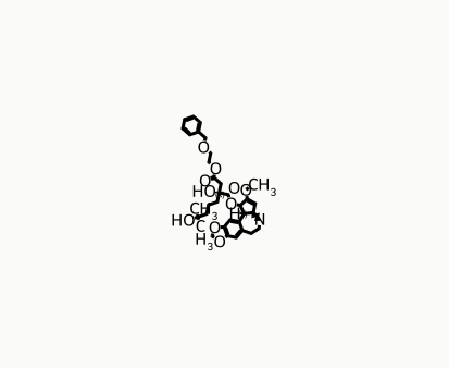 COC1=CC23CCCN2CCc2cc4c(cc2[C@@H]3C1OC(=O)[C@@](O)(CCCC(C)(C)O)CC(=O)OCCOCc1ccccc1)OCO4